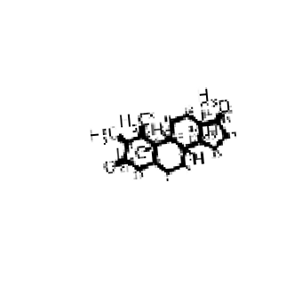 C=C1C(=C)[C@@]2(C)C(CC[C@@H]3[C@H]2CC[C@]2(C)C(=O)CC[C@@H]32)CC1=O